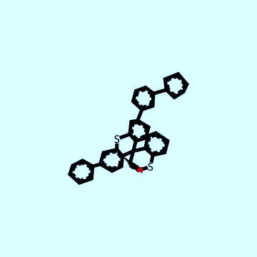 c1ccc(-c2cccc(-c3ccc4c(c3)Sc3cc(-c5ccccc5)ccc3C43c4ccccc4Sc4ccccc43)c2)cc1